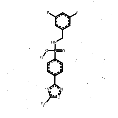 CCOP(=O)(NCc1cc(F)cc(F)c1)c1ccc(-c2noc(C(F)(F)F)n2)cc1